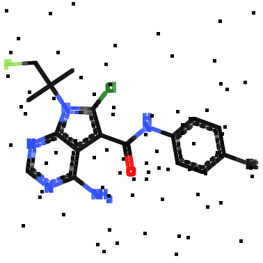 CCc1ccc(NC(=O)c2c(Cl)n(C(C)(C)CF)c3ncnc(N)c23)cc1